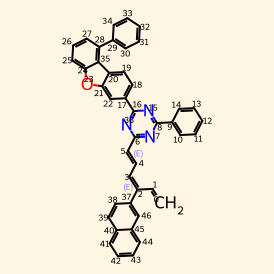 C=C/C(=C\C=C\c1nc(-c2ccccc2)nc(-c2ccc3c(c2)oc2cccc(-c4ccccc4)c23)n1)c1ccc2ccccc2c1